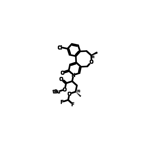 C[C@@H]1Cc2ccc(Cl)cc2-c2cc(=O)n(C(C[C@H](C)OC(F)F)C(=O)OC(C)(C)C)cc2CO1